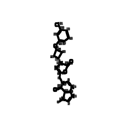 Cn1cnc2ncn(Cc3nn([C@H]4C[C@H](Oc5cccc(Cl)c5)C4)c(=O)o3)c(=O)c21